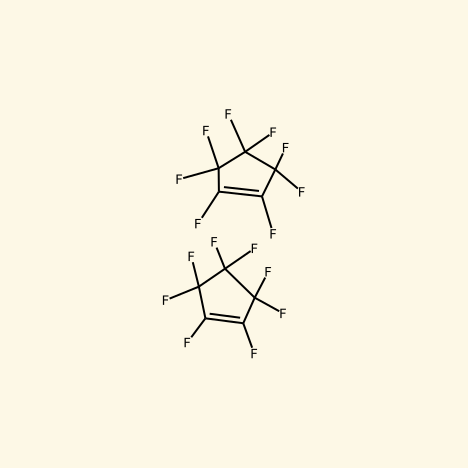 FC1=C(F)C(F)(F)C(F)(F)C1(F)F.FC1=C(F)C(F)(F)C(F)(F)C1(F)F